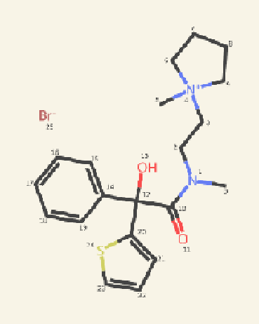 CN(CC[N+]1(C)CCCC1)C(=O)C(O)(c1ccccc1)c1cccs1.[Br-]